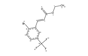 CCOC(=O)C=Cc1cc(C(F)(F)F)ccc1Br